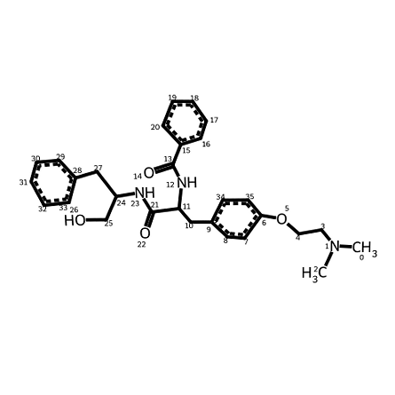 CN(C)CCOc1ccc(CC(NC(=O)c2ccccc2)C(=O)NC(CO)Cc2ccccc2)cc1